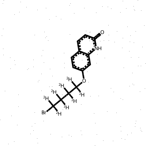 [2H]C([2H])(Br)C([2H])([2H])C([2H])([2H])C([2H])([2H])Oc1ccc2ccc(=O)[nH]c2c1